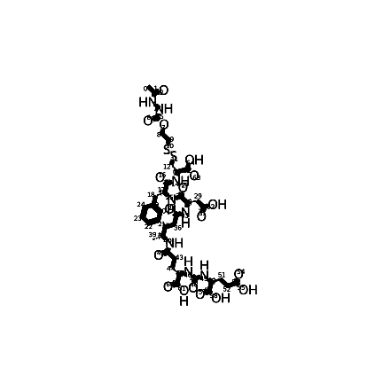 CC(=O)NNC(=O)OCCSSC[C@@H](NC(=O)[C@@H](Cc1ccccc1)NC(=O)[C@H](CC(=O)O)NC(=O)CC[C@@H](C)NC(=O)CC[C@H](NC(=O)N[C@@H](CCC(=O)O)C(=O)O)C(=O)O)C(=O)O